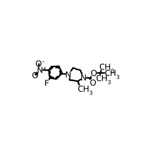 CC1CN(c2ccc([N+](=O)[O-])c(F)c2)CCN1C(=O)OC(C)(C)C